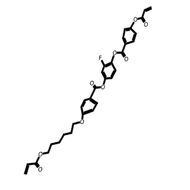 C=CC(=O)OCCCCCCOc1ccc(C(=O)Oc2ccc(OC(=O)c3ccc(OC(=O)C=C)cc3)c(F)c2)cc1